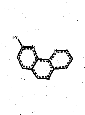 CC(C)c1ccc2ccc3cccnc3c2n1